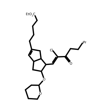 CCOC(=O)CCCCC1=CC2CC(OC3CCCCO3)C(C=C(Cl)C(=O)CCC(C)C)C2C1